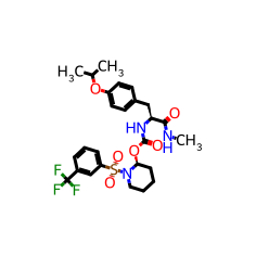 CNC(=O)[C@H](Cc1ccc(OC(C)C)cc1)NC(=O)O[C@H]1CCCCN1S(=O)(=O)c1cccc(C(F)(F)F)c1